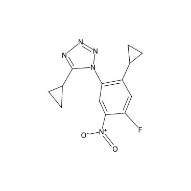 O=[N+]([O-])c1cc(-n2nnnc2C2CC2)c(C2CC2)cc1F